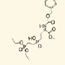 CCOP(=O)(CCP(=O)(O)CC[C@H](NC(=O)OCc1ccccc1)C(=O)OC)OCC